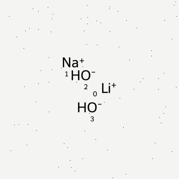 [Li+].[Na+].[OH-].[OH-]